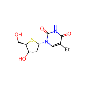 CCc1cn([C@@H]2CC(O)[C@@H](CO)S2)c(=O)[nH]c1=O